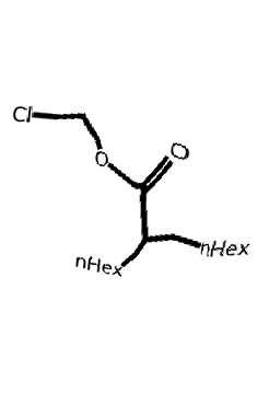 CCCCCCC(CCCCCC)C(=O)OCCl